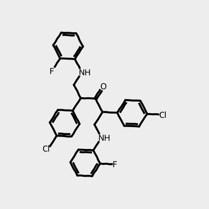 O=C(C(CNc1ccccc1F)c1ccc(Cl)cc1)C(CNc1ccccc1F)c1ccc(Cl)cc1